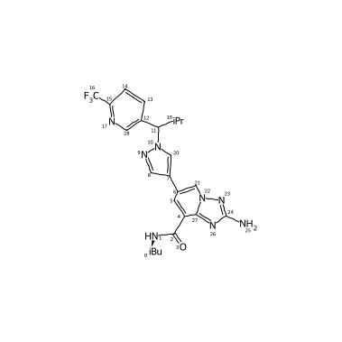 CC[C@H](C)NC(=O)c1cc(-c2cnn(C(c3ccc(C(F)(F)F)nc3)C(C)C)c2)cn2nc(N)nc12